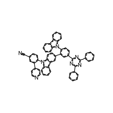 N#Cc1ccc(-n2c3ccccc3c3cc(-c4cc(-c5nc(-c6ccccc6)nc(-c6ccccc6)n5)ccc4-n4c5ccccc5c5ccccc54)ccc32)c(-c2ccncc2)c1